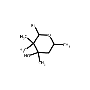 CCC1OC(C)CC(C)(O)C1(C)C